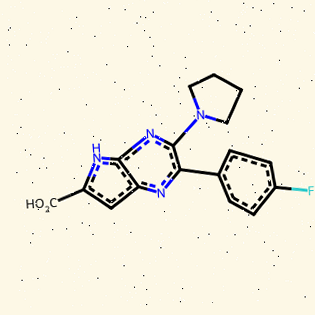 O=C(O)c1cc2nc(-c3ccc(F)cc3)c(N3CCCC3)nc2[nH]1